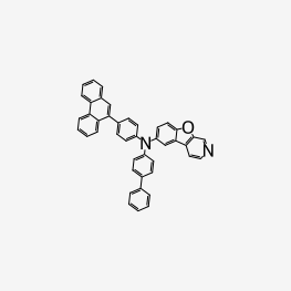 c1ccc(-c2ccc(N(c3ccc(-c4cc5ccccc5c5ccccc45)cc3)c3ccc4oc5cnccc5c4c3)cc2)cc1